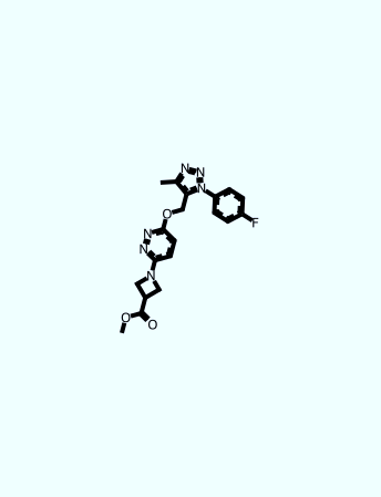 COC(=O)C1CN(c2ccc(OCc3c(C)nnn3-c3ccc(F)cc3)nn2)C1